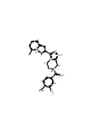 Cc1cccc2cc(-c3nnc4n3CCN(C(=O)c3ccc(Cl)c(Cl)c3)C4)nn12